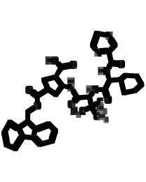 CC(C)(C)[C@H](NC(=O)[C@@H](NC(=O)c1cnccn1)C1CCCCC1)C(=O)N[C@H]1CC(C(=O)OCC2c3ccccc3-c3ccccc32)C[C@H]1C(=O)O